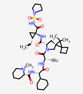 C=C[C@@H]1C[C@]1(NC(=O)[C@@H]1C[C@@]2(CN1C(=O)[C@@H](NC(=O)[C@@H](NC(=O)[C@@H]1CCCCN1C)C1CCCCC1)C(C)(C)C)C(C)(C)C21CCC1)C(=O)NS(=O)(=O)N1CCCC1